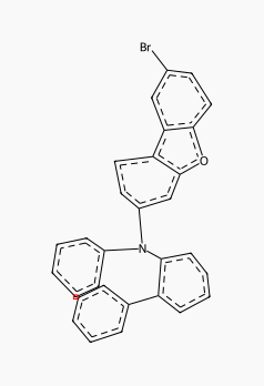 Brc1ccc2oc3cc(N(c4ccccc4)c4ccccc4-c4ccccc4)ccc3c2c1